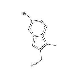 CCC(C)c1ccc2c(c1)cc(CC(C)C)n2C